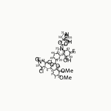 COc1ccc(C(Cc2c(Cl)c[n+]([O-])cc2Cl)OC(=O)c2ccc(CN(C(=O)O[C@H]3CN4CCC3CC4)c3cc(O)cc(F)c3)cc2)cc1OC